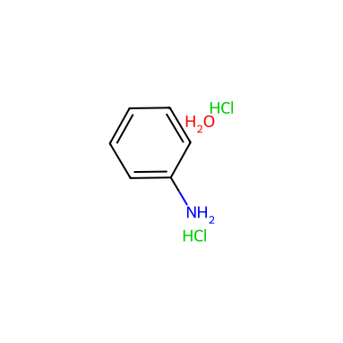 Cl.Cl.Nc1ccccc1.O